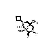 CCN(CC(C)(C)CN(C=O)C1CCC1)C(=O)OC(C)(C)C